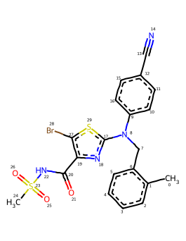 Cc1ccccc1CN(c1ccc(C#N)cc1)c1nc(C(=O)NS(C)(=O)=O)c(Br)s1